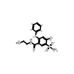 NS(=O)(=O)c1cc(C(=O)NCCO)c(Sc2ccccc2)cc1Cl